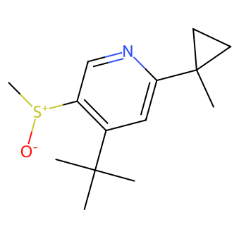 C[S+]([O-])c1cnc(C2(C)CC2)cc1C(C)(C)C